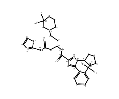 CC(F)(F)c1ccccc1-c1cc(C(=O)N[C@@H](CCN2CCCC(F)(F)C2)CC(=O)Nc2nccs2)nn1C1CCCC1